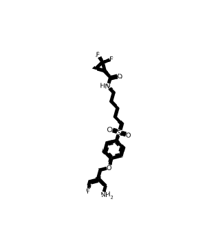 NC/C(=C\F)COc1ccc(S(=O)(=O)CCCCCNC(=O)C2CC2(F)F)cc1